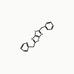 c1ccc(Cc2nc3sc(Cc4ccccc4)nc3s2)cc1